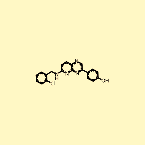 Oc1ccc(-c2cnc3ccc(NCc4ccccc4Cl)nc3n2)cc1